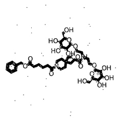 O=C(O)CC1(CCC(=O)N(CCO[C@H]2O[C@H](CO)[C@@H](O)[C@H](O)[C@@H]2O)CCO[C@H]2O[C@H](CO)[C@@H](O)[C@H](O)[C@@H]2O)CCN(C(=O)CCCCC(=O)OCc2ccccc2)CC1